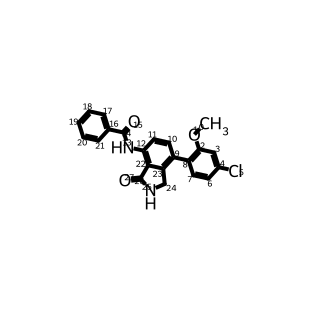 COc1cc(Cl)ccc1-c1ccc(NC(=O)c2ccccc2)c2c1CNC2=O